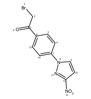 O=C(CBr)c1ccc(-n2ccc([N+](=O)[O-])n2)cc1